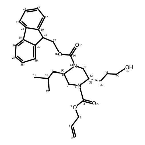 C=CCOC(=O)N1C[C@@H](CC(C)C)N(C(=O)OCC2c3ccccc3-c3ccccc32)C[C@@H]1CCCO